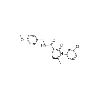 COc1ccc(CNC(=O)c2ccc(C)n(-c3cccc(Cl)c3)c2=O)cc1